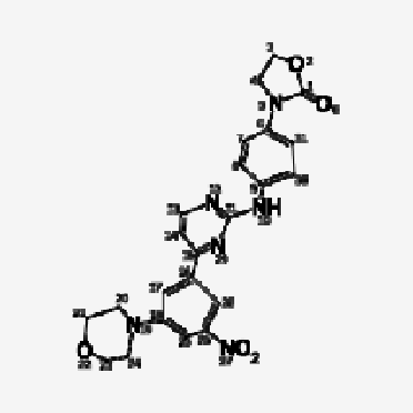 O=C1OCCN1c1ccc(Nc2nccc(-c3cc(N4CCOCC4)cc([N+](=O)[O-])c3)n2)cc1